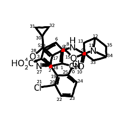 N#Cc1cc(C(=O)O)ccc1NC(=O)N1C2CC(OCc3c(-c4c(Cl)cccc4Cl)noc3C3CC3)CC1C2